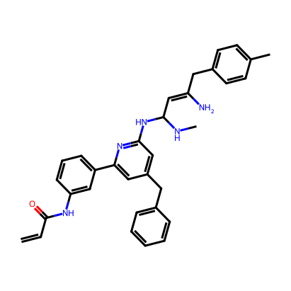 C=CC(=O)Nc1cccc(-c2cc(Cc3ccccc3)cc(NC(/C=C(\N)Cc3ccc(C)cc3)NC)n2)c1